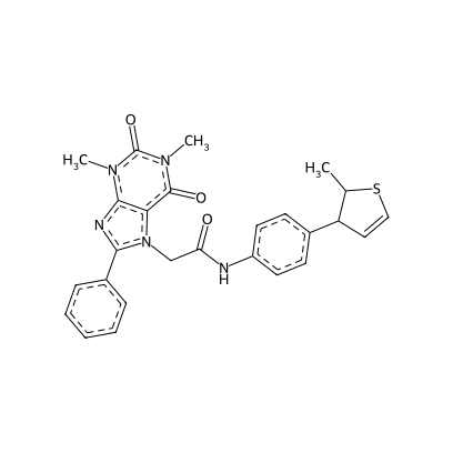 CC1SC=CC1c1ccc(NC(=O)Cn2c(-c3ccccc3)nc3c2c(=O)n(C)c(=O)n3C)cc1